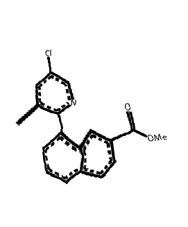 COC(=O)c1ccc2cccc(-c3ncc(Cl)cc3C)c2c1